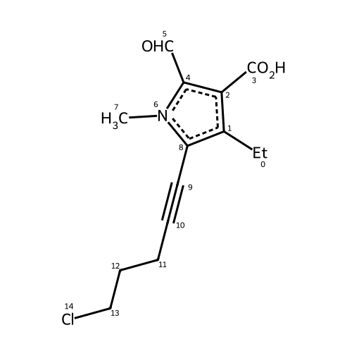 CCc1c(C(=O)O)c(C=O)n(C)c1C#CCCCCl